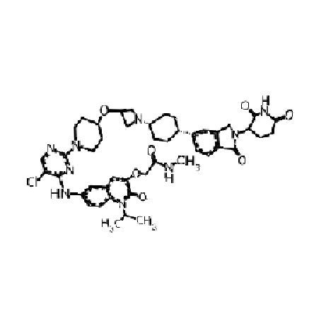 CNC(=O)COc1cc2cc(Nc3nc(N4CCC(OC5CN([C@H]6CC[C@@H](c7ccc8c(c7)CN(C7CCC(=O)NC7=O)C8=O)CC6)C5)CC4)ncc3Cl)ccc2n(C(C)C)c1=O